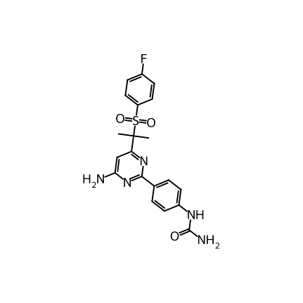 CC(C)(c1cc(N)nc(-c2ccc(NC(N)=O)cc2)n1)S(=O)(=O)c1ccc(F)cc1